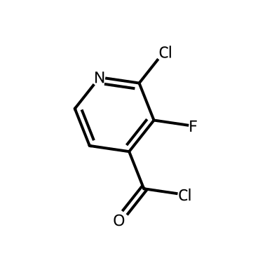 O=C(Cl)c1ccnc(Cl)c1F